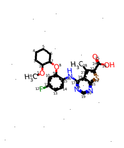 COC1CCCCC1Oc1cc(F)ccc1Nc1ncnc2sc(C(=O)O)c(C)c12